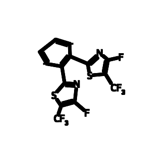 Fc1nc(-c2[c]cc[c]c2-c2nc(F)c(C(F)(F)F)s2)sc1C(F)(F)F